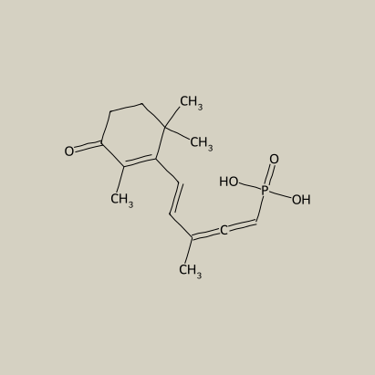 CC(=C=CP(=O)(O)O)C=CC1=C(C)C(=O)CCC1(C)C